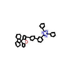 C1=CC2=C(CC1)C1(C3=C2C=CCC3)c2ccccc2Oc2c(-c3ccc(-c4cccc(-c5nc(-c6ccccc6)nc(-c6ccccc6)n5)c4)cc3)cccc21